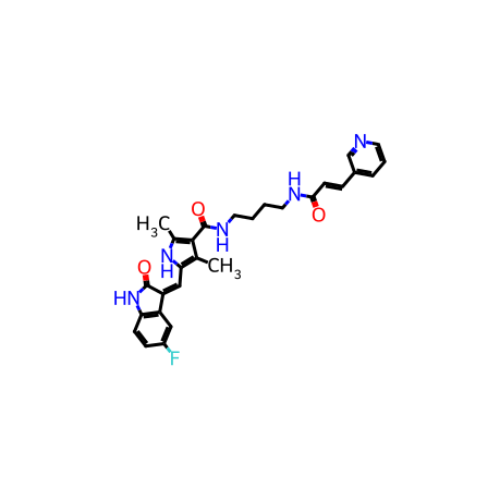 Cc1[nH]c(/C=C2\C(=O)Nc3ccc(F)cc32)c(C)c1C(=O)NCCCCNC(=O)/C=C/c1cccnc1